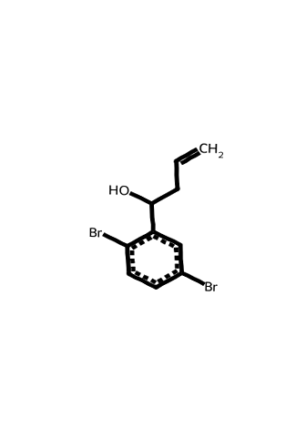 C=CCC(O)c1cc(Br)ccc1Br